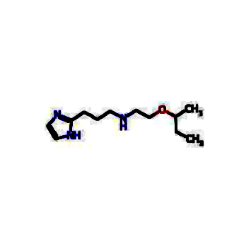 CCC(C)OCCNCCCc1ncc[nH]1